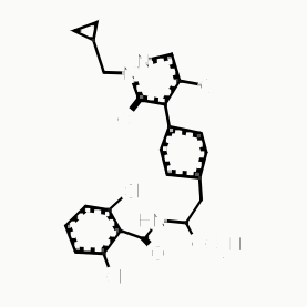 O=C(NC(Cc1ccc(-c2c(Cl)cnn(CC3CC3)c2=O)cc1)C(=O)O)c1c(Cl)cccc1Cl